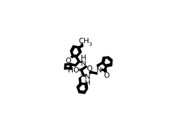 CCc1ccc2c(c1)[C@@H](NC[C@H](O)[C@H](Cc1ccccc1)NC(=O)CN1Cc3ccccc3C1=O)CC1(CCC1)O2